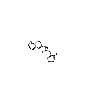 O=C(Cc1ccccc1F)Nc1ccc2ncccc2c1